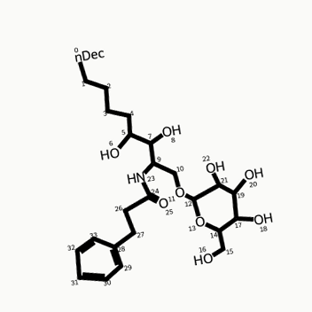 CCCCCCCCCCCCCCC(O)C(O)C(COC1OC(CO)C(O)C(O)C1O)NC(=O)CCc1ccccc1